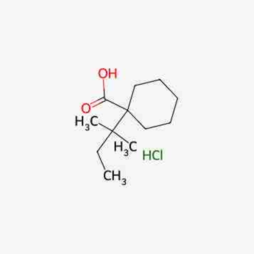 CCC(C)(C)C1(C(=O)O)CCCCC1.Cl